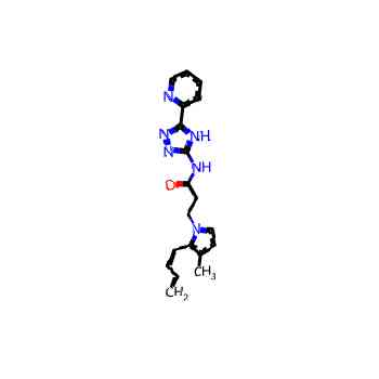 C=C/C=C\c1c(C)ccn1CCC(=O)Nc1nnc(-c2ccccn2)[nH]1